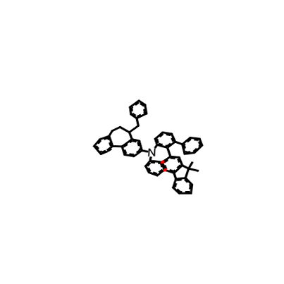 CC1(C)c2ccccc2-c2ccc(-c3c(-c4ccccc4)cccc3N(c3ccccc3)c3ccc4c(c3)C(Cc3ccccc3)CCc3ccccc3-4)cc21